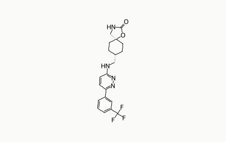 O=C1NC[C@]2(CC[C@@H](CNc3ccc(-c4cccc(C(F)(F)F)c4)nn3)CC2)O1